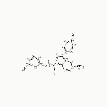 Cc1ccc2c(C(=O)NCc3cccc(F)c3)oc(-c3ccc(Cl)cc3)c2c1